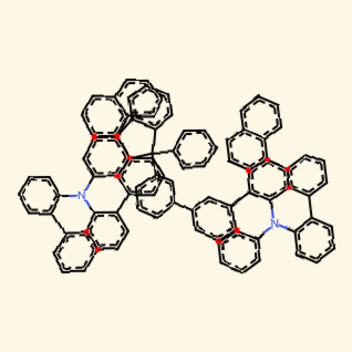 c1ccc(-c2ccccc2N(c2ccc3c(c2)C(c2ccccc2)(c2cccc(-c4cccc(-c5ccccc5N(c5ccccc5)c5ccccc5-c5cccc(-c6cccc7ccccc67)c5)c4)c2)c2ccccc2-3)c2ccccc2-c2cccc(-c3cccc4ccccc34)c2)cc1